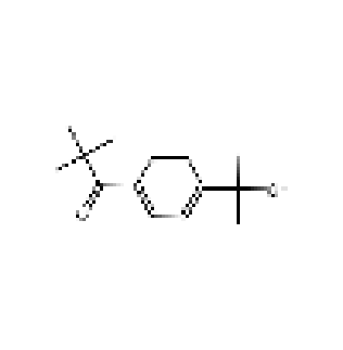 CC(C)(C)C(=O)c1ccc(C(C)(C)O)cc1